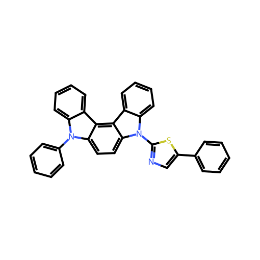 c1ccc(-c2cnc(-n3c4ccccc4c4c5c6ccccc6n(-c6ccccc6)c5ccc43)s2)cc1